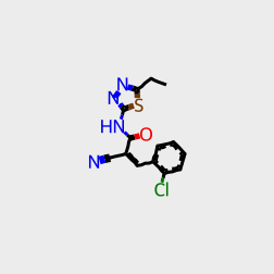 CCc1nnc(NC(=O)C(C#N)=Cc2ccccc2Cl)s1